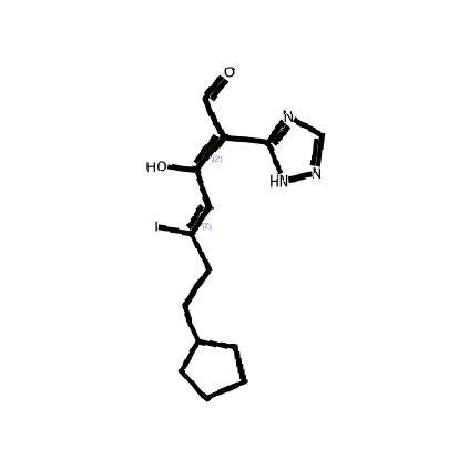 O=C/C(=C(O)/C=C(\I)CCC1CCCC1)c1ncn[nH]1